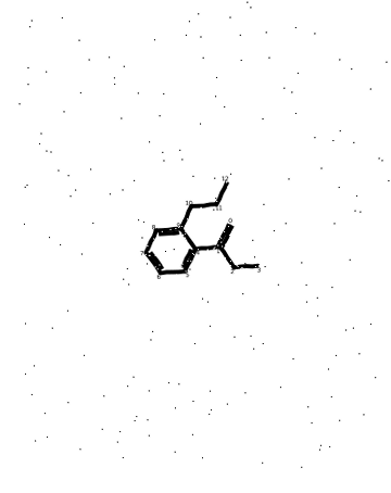 C=C(CC)c1ccccc1CCC